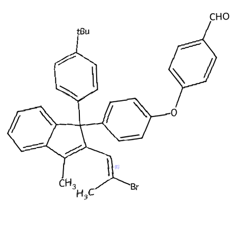 CC1=C(/C=C(\C)Br)C(c2ccc(Oc3ccc(C=O)cc3)cc2)(c2ccc(C(C)(C)C)cc2)c2ccccc21